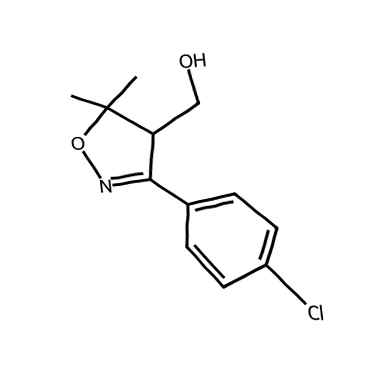 CC1(C)ON=C(c2ccc(Cl)cc2)C1CO